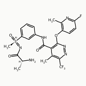 Cc1nc(F)ccc1Oc1nnc(C(F)(F)F)c(C)c1C(=O)Nc1cccc([S@@](C)(=O)=NC(=O)[C@@H](C)N)c1